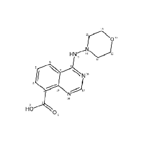 O=C(O)c1cccc2c(NN3CCOCC3)ncnc12